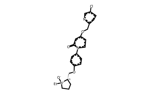 CC[N+]1([O-])CCC[C@H]1COc1ccc(-n2ccc(OCc3ccc(Cl)cn3)cc2=O)cc1